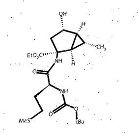 CCOC(=O)[C@]1(NC(=O)[C@H](CCSC)NC(=O)OC(C)(C)C)C[C@H](O)[C@H]2[C@H](C)[C@H]21